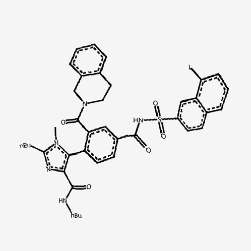 CCCCNC(=O)c1nc(CCCC)n(C)c1-c1ccc(C(=O)NS(=O)(=O)c2ccc3cccc(I)c3c2)cc1C(=O)N1CCc2ccccc2C1